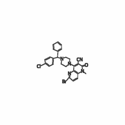 Cn1c(=O)c(C#N)c(N2CCN(C(c3ccccc3)c3ccc(Cl)cc3)CC2)c2nc(Br)ccc21